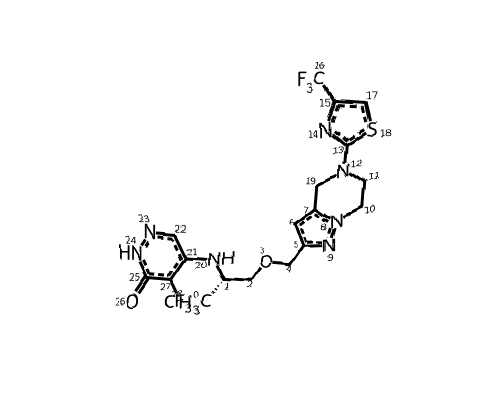 C[C@@H](COCc1cc2n(n1)CCN(c1nc(C(F)(F)F)cs1)C2)Nc1cn[nH]c(=O)c1C(F)(F)F